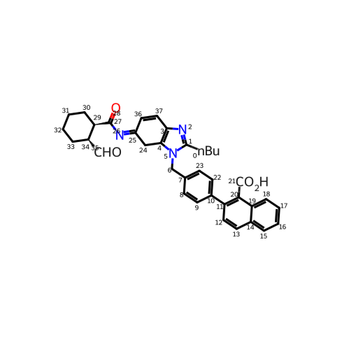 CCCCc1nc2c(n1Cc1ccc(-c3ccc4ccccc4c3C(=O)O)cc1)CC(=NC(=O)[C@@H]1CCCC[C@@H]1C=O)C=C2